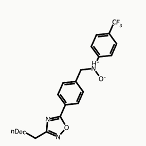 CCCCCCCCCCCc1noc(-c2ccc(C[NH+]([O-])c3ccc(C(F)(F)F)cc3)cc2)n1